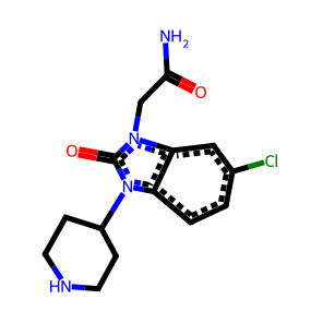 NC(=O)Cn1c(=O)n(C2CCNCC2)c2ccc(Cl)cc21